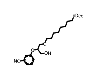 CCCCCCCCCCCCCCCCCCOCC(CO)Oc1cccc(C#N)c1